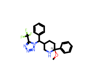 CO[C@]1(c2ccccc2)[CH]CC(C(c2ccccc2)n2nnnc2C(F)(F)F)CN1